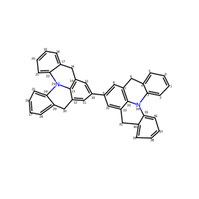 c1ccc2c(c1)Cc1cc(-c3cc4c5c(c3)Cc3ccccc3N5c3ccccc3C4)cc3c1N2c1ccccc1C3